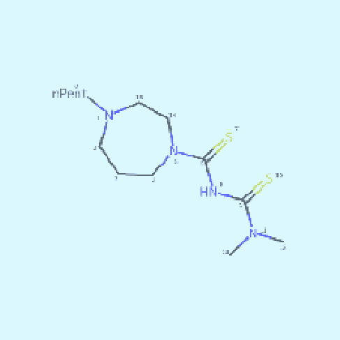 CCCCCN1CCCN(C(=S)NC(=S)N(C)C)CC1